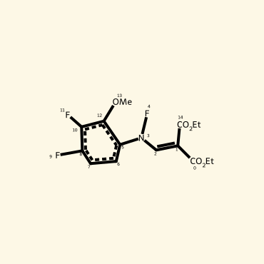 CCOC(=O)C(=CN(F)c1ccc(F)c(F)c1OC)C(=O)OCC